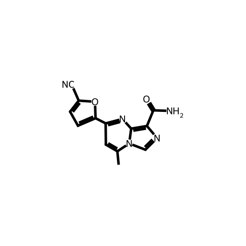 Cc1cc(-c2ccc(C#N)o2)nc2c(C(N)=O)ncn12